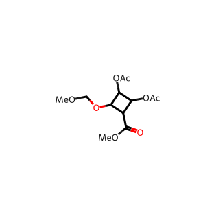 COCOC1C(OC(C)=O)C(OC(C)=O)C1C(=O)OC